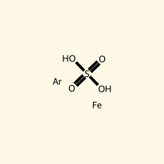 O=S(=O)(O)O.[Ar].[Fe]